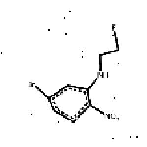 O=[N+]([O-])c1ccc(Br)cc1NCCF